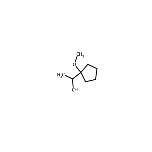 COC1(C(C)C)CCCC1